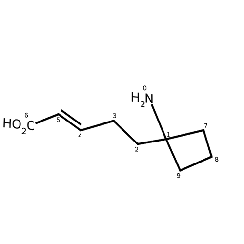 NC1(CC/C=C/C(=O)O)CCC1